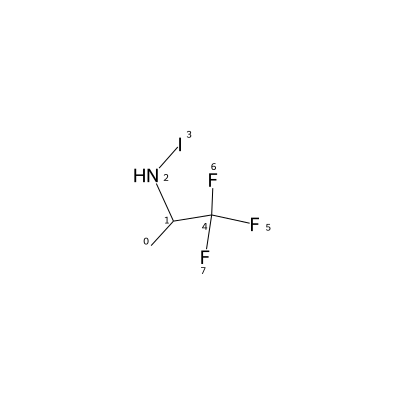 CC(NI)C(F)(F)F